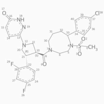 CS(=O)(=O)N1CCN(C(=O)[C@@H]2CN(c3ccc(=O)[nH]n3)C[C@H]2c2ccc(F)cc2F)CCCC1c1ccc(Cl)cc1